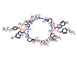 CC[C@H](C)[C@H]1C(=O)NC[C@@H](NC(=O)c2nc3ccc(Br)cc3cc2OCc2ccc(OC)cc2)C(=O)N2CCCC[C@H]2C(=O)NCC(=O)N(C)CC(=O)N(C)[C@@H]([C@@H](C)CC)C(=O)NC[C@@H](NC(=O)c2nc3ccc(Br)cc3cc2OCc2ccc(OC)cc2)C(=O)N2CCCC[C@H]2C(=O)NCC(=O)N(C)CC(=O)N1C